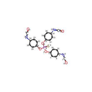 O=C=Nc1ccc(OP(=S)(Oc2ccc(N=C=O)cc2)Oc2ccc(N=C=O)cc2)cc1